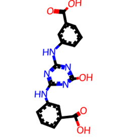 O=C(O)c1cccc(Nc2nc(O)nc(Nc3cccc(C(=O)O)c3)n2)c1